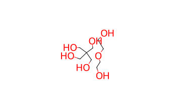 OCC(CO)(CO)CO.OCCOCCO